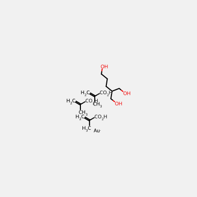 C=C(C)C(=O)O.C=C(C)C(=O)O.C=C(C)C(=O)O.OCCCC(CO)CO.[Au]